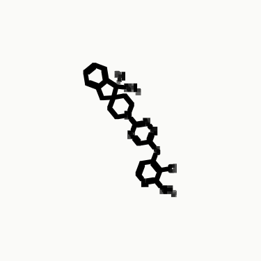 [2H][C@@]1(N)c2ccccc2CC12CCN(c1ncc(Sc3ccnc(N)c3Cl)nn1)CC2